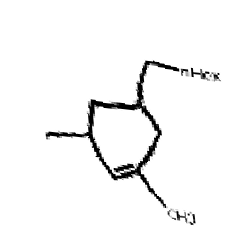 CCCCCCCC1CC(C=O)=CC(C)C1